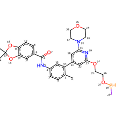 Cc1ccc(NC(=O)c2ccc3c(c2)OC(C)(C)O3)cc1-c1cc(OCCOPI)nc(N2CCOCC2)c1